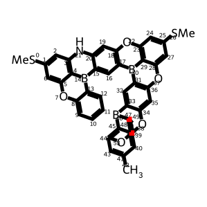 CSc1cc2c3c(c1)Oc1ccccc1B3c1cc3c(cc1N2)Oc1cc(SC)cc2c1B3c1cc3c(cc1O2)Oc1cc(C)cc2c1B3c1ccccc1O2